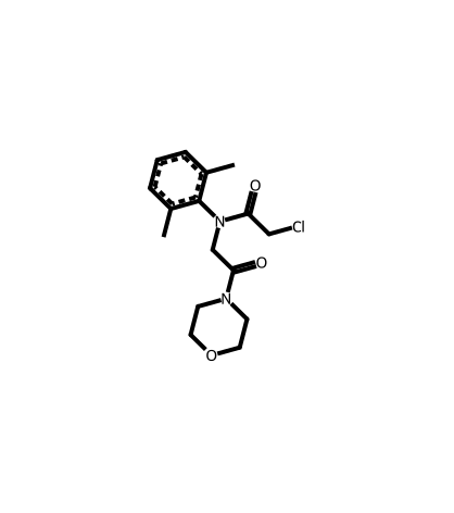 Cc1cccc(C)c1N(CC(=O)N1CCOCC1)C(=O)CCl